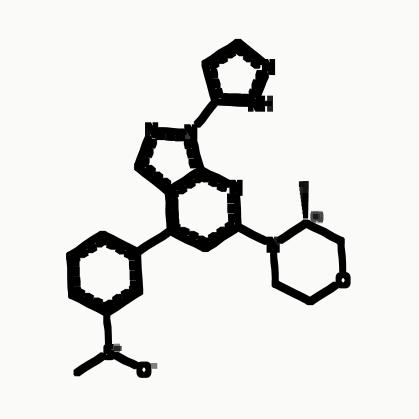 C[C@@H]1COCCN1c1cc(-c2cccc([S+](C)[O-])c2)c2cnn(-c3ccn[nH]3)c2n1